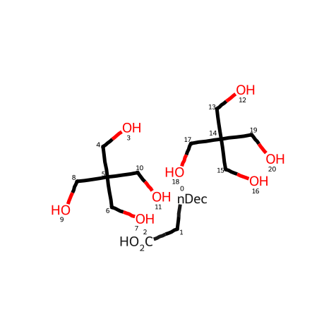 CCCCCCCCCCCC(=O)O.OCC(CO)(CO)CO.OCC(CO)(CO)CO